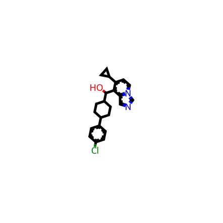 OC(c1c(C2CC2)ccn2cncc12)C1CCC(c2ccc(Cl)cc2)CC1